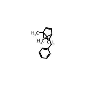 CC12C=CC(C(Cc3ccccc3)C1)C2(C)C